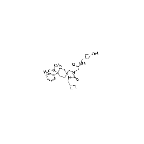 CN(C)C1(c2ccccc2)CCC2(CC1)CN(CC(=O)NC[C@H]1C[C@@H](O)C1)C(=O)N2CC1CCC1